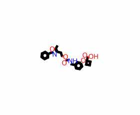 Cc1oc(-c2ccccc2)nc1CCOC(=O)NCc1cccc(OC2(C(=O)O)CCC2)c1